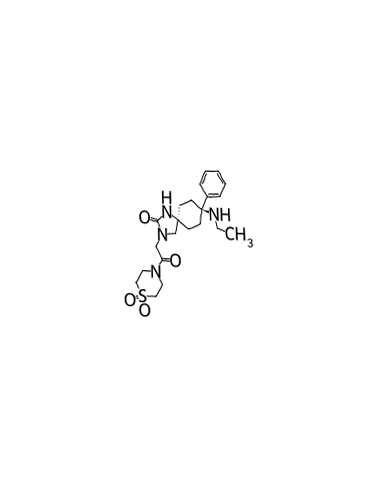 CCN[C@]1(c2ccccc2)CC[C@]2(CC1)CN(CC(=O)N1CCS(=O)(=O)CC1)C(=O)N2